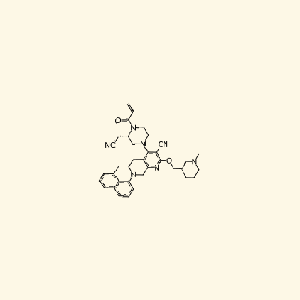 C=CC(=O)N1CCN(c2c(C#N)c(OCC3CCCN(C)C3)nc3c2CCN(c2cccc4cccc(C)c24)C3)C[C@@H]1CC#N